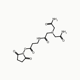 NC(=O)CN(CC(N)=O)CC(=O)NCCC(=O)ON1C(=O)CCC1=O